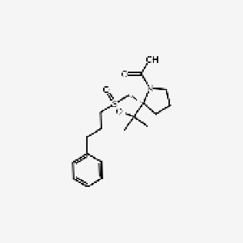 CC(C)(C)[C@]1(CS(=O)(=O)CCCc2ccccc2)CCCN1C(=O)O